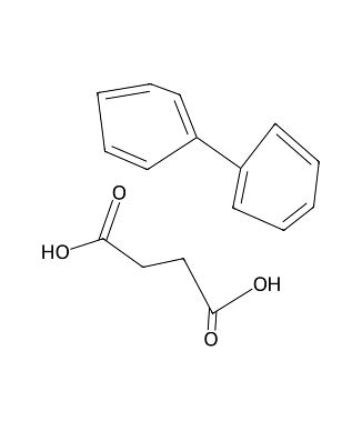 O=C(O)CCC(=O)O.c1ccc(-c2ccccc2)cc1